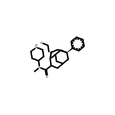 CN(C(=O)C1CC2C[C@]3(c4ccccc4)CCC1[C@](CCF)(C2)C3)C1CCNCC1